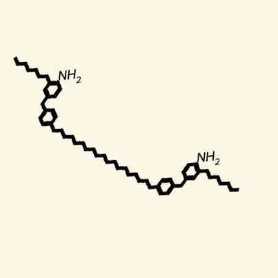 CCCCCCCc1cc(Cc2ccc(CCCCCCCCCCCCCCCCCCCc3ccc(Cc4ccc(N)c(CCCCCCC)c4)cc3)cc2)ccc1N